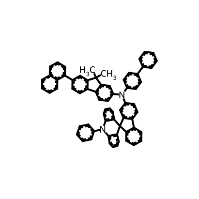 CC1(C)c2cc(-c3cccc4ccccc34)ccc2-c2ccc(N(c3ccc(-c4ccccc4)cc3)c3ccc4c(c3)C3(c5ccccc5-4)c4ccccc4N(c4ccccc4)c4ccccc43)cc21